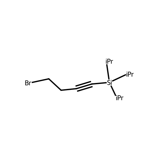 CC(C)[Si](C#CCCBr)(C(C)C)C(C)C